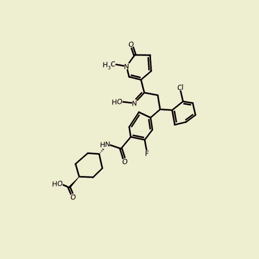 Cn1cc(C(CC(c2ccc(C(=O)N[C@H]3CC[C@H](C(=O)O)CC3)c(F)c2)c2ccccc2Cl)=NO)ccc1=O